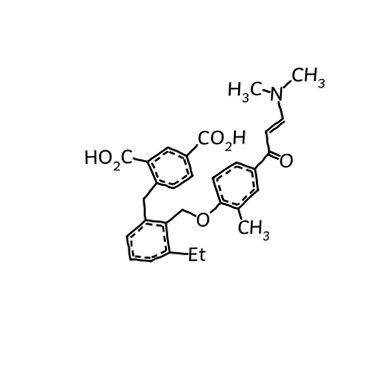 CCc1cccc(Cc2ccc(C(=O)O)cc2C(=O)O)c1COc1ccc(C(=O)C=CN(C)C)cc1C